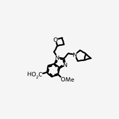 COc1cc(C(=O)O)cc2c1nc(CN1CC3CC3C1)n2CC1CCO1